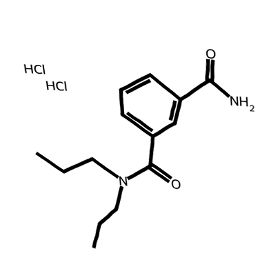 CCCN(CCC)C(=O)c1cccc(C(N)=O)c1.Cl.Cl